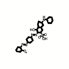 COc1ccccc1N=Nc1ccc(N=Nc2c(S(=O)(=O)O)cc3cc(Nc4ccccc4)ccc3c2O)cc1